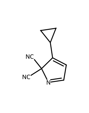 N#CC1(C#N)N=CC=C1C1CC1